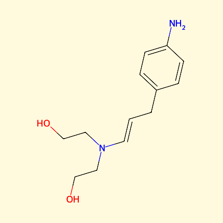 Nc1ccc(CC=CN(CCO)CCO)cc1